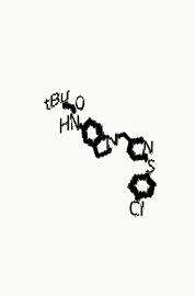 CC(C)(C)CC(=O)Nc1ccc2c(c1)CCN2Cc1ccc(Sc2ccc(Cl)cc2)nc1